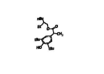 CCCCC(CC)COC(=O)C(C)c1cc(C(C)(C)C)c(O)c(C(C)(C)C)c1